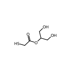 O=C(CS)OC(CO)CO